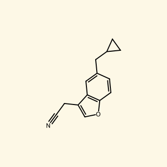 N#CCc1coc2ccc(CC3CC3)cc12